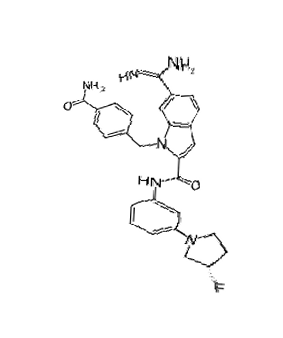 N=C(N)c1ccc2cc(C(=O)Nc3cccc(N4CC[C@H](F)C4)c3)n(Cc3ccc(C(N)=O)cc3)c2c1